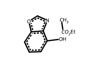 CCOC(C)=O.Oc1cccc2ocnc12